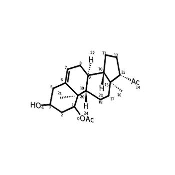 CC(=O)OC1CC(O)CC2=CC[C@H]3[C@@H]4CC[C@H](C(C)=O)[C@@]4(C)CC[C@@H]3[C@]21C